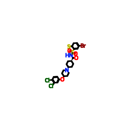 O=C(NS(=O)(=O)C1=CC(Br)=CCC1=S)[C@H]1CC[C@H](N2CCC(Oc3ccc(Cl)c(Cl)c3)CC2)CC1